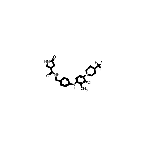 Cc1c(Nc2ccc(CNC(=O)C3CNC(=O)C3)cc2)ccc(N2CCC(C(F)(F)F)CC2)c1Cl